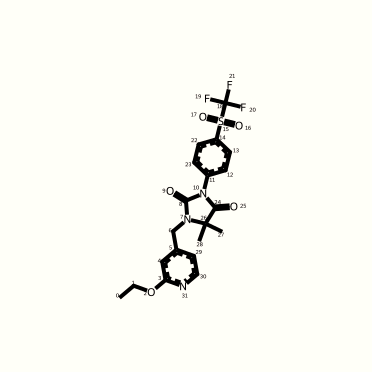 CCOc1cc(CN2C(=O)N(c3ccc(S(=O)(=O)C(F)(F)F)cc3)C(=O)C2(C)C)ccn1